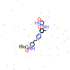 Cc1cc(N2CCN(CCC3CCN(NC(=O)OC(C)(C)C)CC3)CC2)ccc1NC1CCC(=O)NC1=O